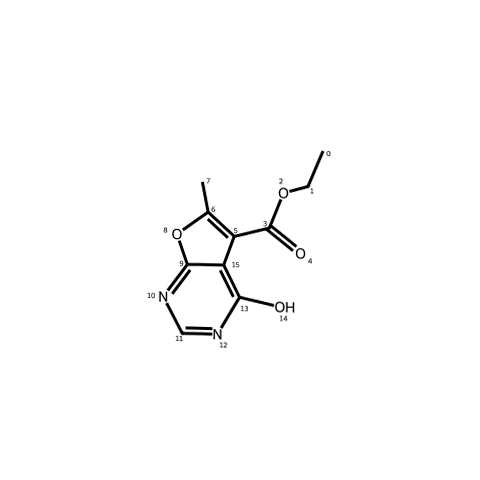 CCOC(=O)c1c(C)oc2ncnc(O)c12